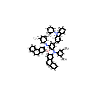 CC(C)(C)c1cc(N2c3cc4c(ccc5ccccc54)cc3B3c4cc5ccc6ccccc6c5cc4N(c4cc(C(C)(C)C)cc(C(C)(C)C)c4)c4cc(-c5ccc6c7ccccc7n(-c7ccccc7)c6c5)cc2c43)cc(C(C)(C)C)c1